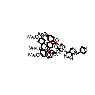 CCN1CCc2cc(OC)c(OC)cc2C1C1CC(C(=O)N2CCN(c3ncnc4c3cnn4Cc3ccncc3)CC2)CCC12c1cc(OC)c(OC)cc1CCN2C(=O)CCN(C)C(=O)OCc1ccc(OC(C)=O)cc1